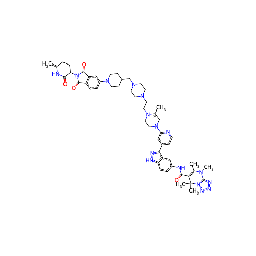 C=C1CCC(N2C(=O)c3ccc(N4CCC(CN5CCN(CCN6CCN(c7cc(-c8n[nH]c9ccc(NC(=O)C%10=C(C)N(C)c%11nnnn%11C%10(C)C)cc89)ccn7)C[C@@H]6C)CC5)CC4)cc3C2=O)C(=O)N1